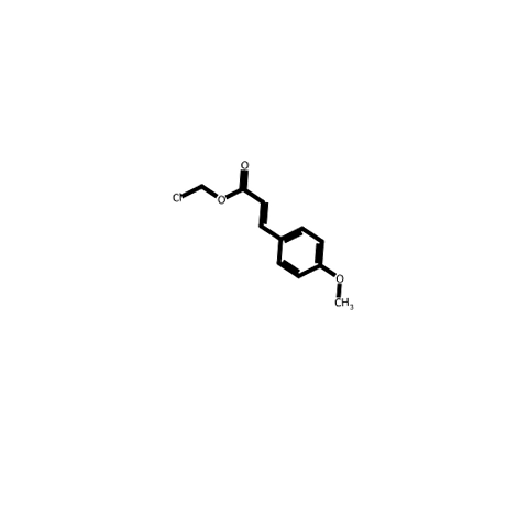 COc1ccc(/C=C/C(=O)OCCl)cc1